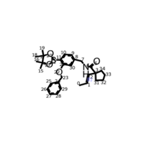 C/C=C/C1(C(=O)NCc2ccc(B3OC(C)(C)C(C)(C)O3)c(OCc3ccccc3)c2)CCCC1